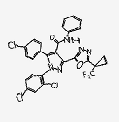 O=C(Nc1ccccc1)c1c(-c2nnc(C3(C(F)(F)F)CC3)o2)nn(-c2ccc(Cl)cc2Cl)c1-c1ccc(Cl)cc1